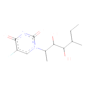 CCC(C)C(O)C(O)C(C)n1cc(F)c(=O)[nH]c1=O